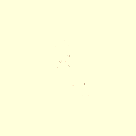 COc1cccc(Nc2nccc(-c3sc(NC4CC4)nc3C)n2)c1